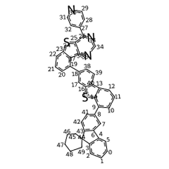 c1ccc2c(c1)-c1cc(-c3cccc4c3sc3cc(-c5cccc6sc7c(-c8ccncc8)ncnc7c56)ccc34)ccc1C21CCCCC1